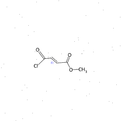 COC(=O)/C=C/C(=O)Cl